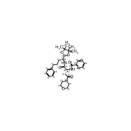 CC1(C)OB([C@H](CCCc2ccccc2)NC(=O)[C@@H](CC(=O)N2CCOCC2)NC(=O)c2cnccn2)OC1(C)C